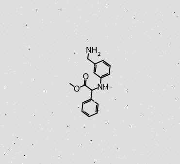 COC(=O)C(Nc1cccc(CN)c1)c1ccccc1